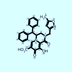 Cc1cc(CN2CC(C(c3ccccc3)c3ccccc3)n3cc(C(=O)O)c(=O)c(O)c3C2=O)no1